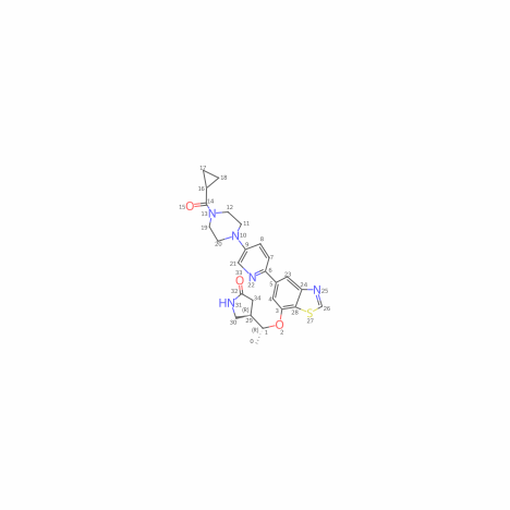 C[C@@H](Oc1cc(-c2ccc(N3CCN(C(=O)C4CC4)CC3)cn2)cc2ncsc12)[C@H]1CNC(=O)C1